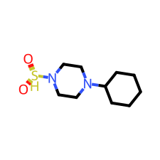 O=[SH](=O)N1CCN(C2CCCCC2)CC1